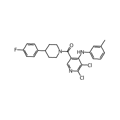 Cc1cccc(Nc2c(C(=O)N3CCC(c4ccc(F)cc4)CC3)cnc(Cl)c2Cl)c1